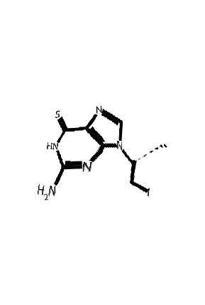 C[C@H](CI)n1cnc2c(=S)[nH]c(N)nc21